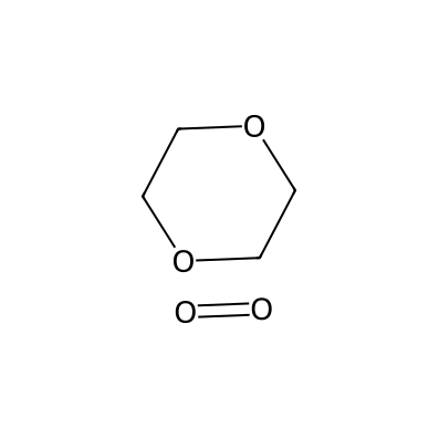 C1COCCO1.O=O